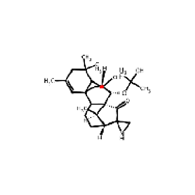 CC1=C[C@]23CO[C@](OC(C)(C)O)([C@@H](O)C2C(C)(C)C1)[C@]12C(=O)C4(CN4)[C@H](CCC31)[C@H]2C